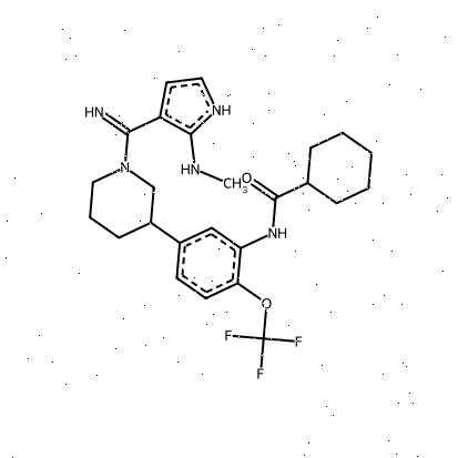 CNc1[nH]ccc1C(=N)N1CCCC(c2ccc(OC(F)(F)F)c(NC(=O)C3CCCCC3)c2)C1